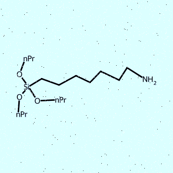 CCCO[Si](CCCCCCCN)(OCCC)OCCC